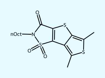 CCCCCCCCN1C(=O)c2sc3c(C)sc(C)c3c2S1(=O)=O